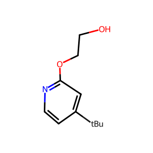 CC(C)(C)c1ccnc(OCCO)c1